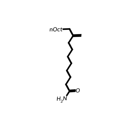 C=C(CCCCCCCCC)CCCCCCCC(N)=O